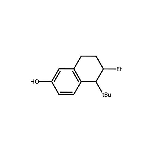 CCC1CCc2cc(O)ccc2C1C(C)(C)C